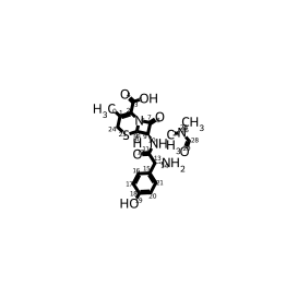 CC1=C(C(=O)O)N2C(=O)[C@@H](NC(=O)[C@H](N)c3ccc(O)cc3)[C@H]2SC1.CN(C)C=O